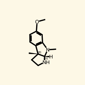 COc1ccc2c(c1)N(C)[C@@H]1NCC[C@]21C